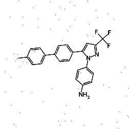 Cc1ccc(-c2ccc(-c3cc(C(F)(F)F)nn3-c3ccc(N)cc3)cc2)cc1